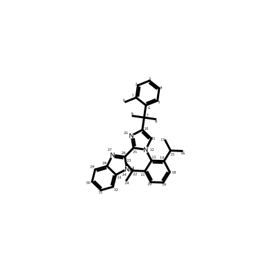 Cc1ccccc1C(C)(C)c1cn(-c2c(C(C)C)cccc2C(C)C)c(-c2nc3ccccc3[nH]2)n1